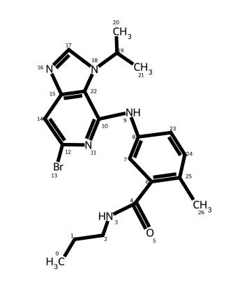 CCCNC(=O)c1cc(Nc2nc(Br)cc3ncn(C(C)C)c23)ccc1C